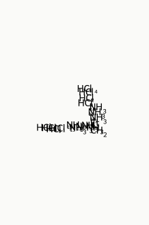 Cl.Cl.Cl.Cl.Cl.Cl.Cl.Cl.N.N.N.N.N.N.N.N.[CH2]CC